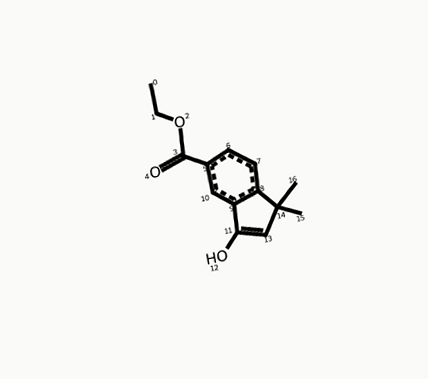 CCOC(=O)c1ccc2c(c1)C(O)=CC2(C)C